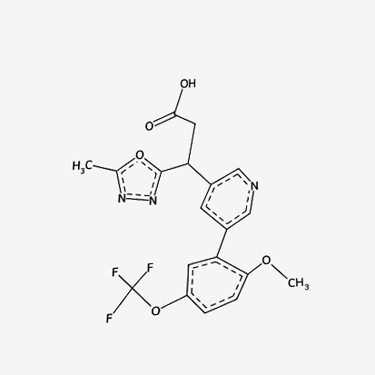 COc1ccc(OC(F)(F)F)cc1-c1cncc(C(CC(=O)O)c2nnc(C)o2)c1